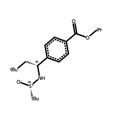 CC(C)OC(=O)c1ccc([C@@H](CC(C)(C)C)N[S@@+]([O-])C(C)(C)C)cc1